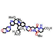 CCn1c(-c2cc(N3CCN4CCOCC4C3)cnc2[C@H](C)OC)c(CC(C)(C)COC(C)=O)c2cc(N3CCOC(CC(NC(=O)OC(C)(C)C)C(=O)N4CCCC(C(=O)O)N4)C3)ccc21